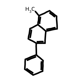 Cc1cccc2cc(-c3ccccc3)ccc12